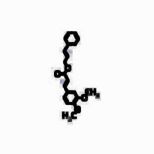 COc1ccc(/C=C/C(=O)OC/C=C/c2ccccc2)cc1OC